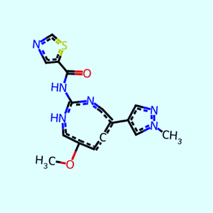 COc1ccc(-c2cnn(C)c2)cnc(NC(=O)c2cncs2)[nH]c1